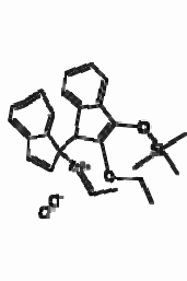 C[CH]=[Zr+2][C]1(C2C(OCC)=C(O[Si](C)(C)C)c3ccccc32)C=Cc2ccccc21.[Cl-].[Cl-]